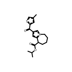 Cc1csc(C(=O)c2cc3n(c2)CCCCC3C(=O)OC(C)C)c1